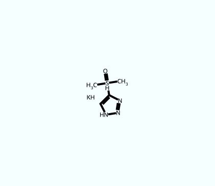 C[SH](C)(=O)c1c[nH]nn1.[KH]